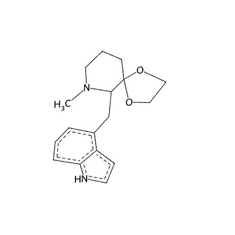 CN1CCCC2(OCCO2)C1Cc1cccc2[nH]ccc12